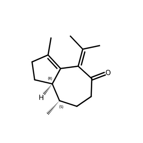 CC(C)=C1C(=O)CC[C@H](C)[C@H]2CCC(C)=C12